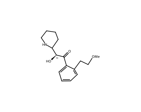 COCCc1ccccc1C(=O)[C@@H](O)C1CCCCN1